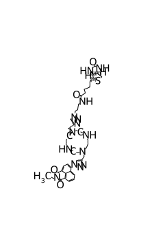 CCN1C(=O)c2cccc3c(-n4cc(CN5CCCNCCN(Cc6cn(CCCNC(=O)CCCC[C@@H]7SC[C@@H]8NC(=O)N[C@@H]87)nn6)CCCNCC5)nn4)ccc(c23)C1=O